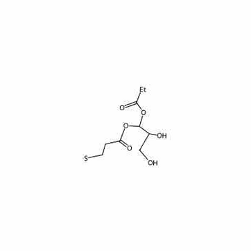 CCC(=O)OC(OC(=O)CC[S])C(O)CO